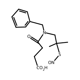 CC(C)(CN(Cc1ccccc1)C(=O)CCC(=O)O)SN=O